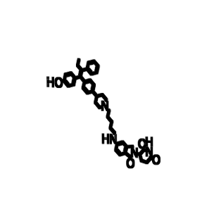 CC/C(=C(\c1ccc(O)cc1)c1ccc(C2CCN(CCCCCNc3ccc4c(c3)CN(C3CCC(=O)NC3=O)C4=O)CC2)cc1)c1ccccc1